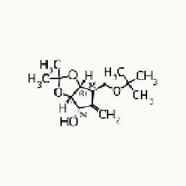 C=C1[C@H](O)[C@@H]2OC(C)(C)O[C@@H]2[C@H]1COC(C)(C)C